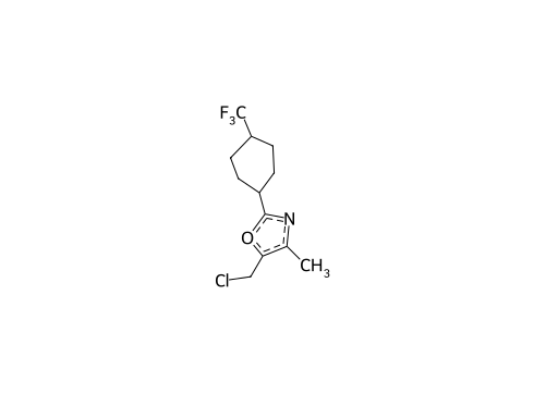 Cc1nc(C2CCC(C(F)(F)F)CC2)oc1CCl